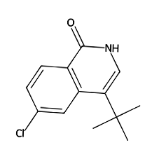 CC(C)(C)c1c[nH]c(=O)c2ccc(Cl)cc12